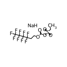 CCS(=O)(=O)OC(=O)OCCC(F)(F)C(F)(F)C(F)(F)C(F)(F)F.[NaH]